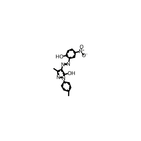 Cc1ccc(-n2nc(C)c(N=Nc3cc([N+](=O)[O-])ccc3O)c2O)cc1